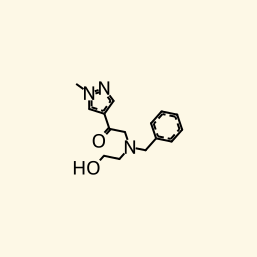 Cn1cc(C(=O)CN(CCO)Cc2ccccc2)cn1